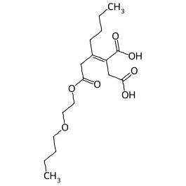 CCCCOCCOC(=O)CC(CCCC)=C(CC(=O)O)C(=O)O